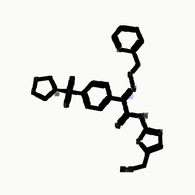 COCc1cnc(NC(=O)/C(=N/OCc2ccccn2)c2ccc(S(=O)(=O)[C@H]3CCOC3)cc2)s1